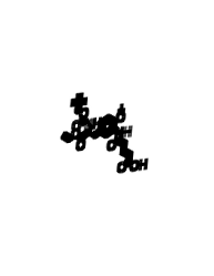 CCOC(=O)[C@H](Cc1ccc(OI)c(NC(=O)CCCC(=O)O)c1)NC(=O)OCC(C)(C)C